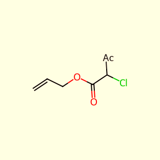 C=CCOC(=O)C(Cl)C(C)=O